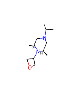 CC(C)N1C[C@@H](C)N(C2COC2)[C@@H](C)C1